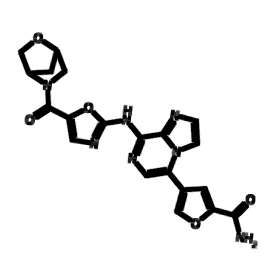 NC(=O)c1cc(-c2cnc(Nc3ncc(C(=O)N4CC5CC4CO5)o3)c3nccn23)co1